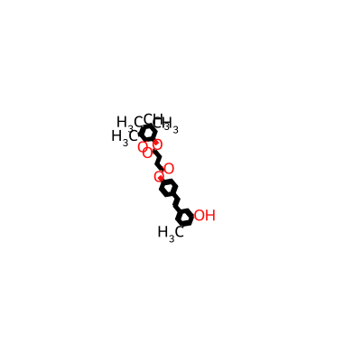 CC1=C(C)C(C)(C)CC(OC(=O)CCC(=O)Oc2ccc(/C=C/c3cc(C)cc(O)c3)cc2)C1=O